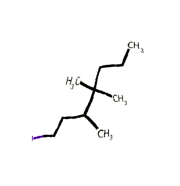 CCCC(C)(C)C(C)CCI